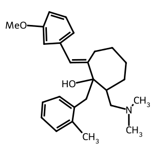 COc1cccc(/C=C2\CCCCC(CN(C)C)C2(O)Cc2ccccc2C)c1